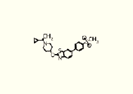 C=C(C1CC1)N1CCC(Oc2nc3ccc(-c4ccc(S(C)(=O)=O)cc4)cc3s2)CC1